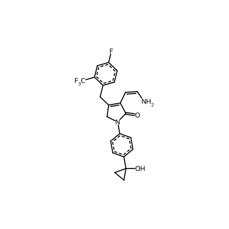 N/C=C\C1=C(Cc2ccc(F)cc2C(F)(F)F)CN(c2ccc(C3(O)CC3)cc2)C1=O